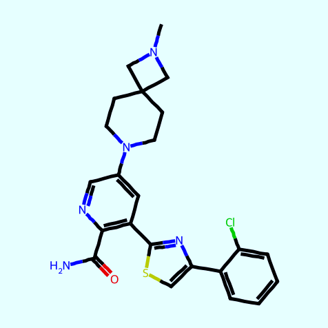 CN1CC2(CCN(c3cnc(C(N)=O)c(-c4nc(-c5ccccc5Cl)cs4)c3)CC2)C1